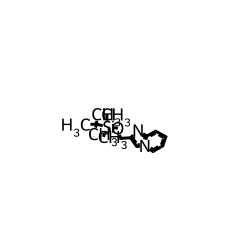 CC(C)(C)[Si](C)(C)OCc1cn2ccccc2n1